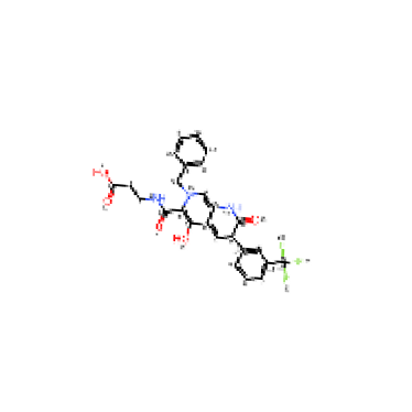 O=C(O)CCNC(=O)C1=C(O)C2=CC(c3cccc(C(F)(F)F)c3)C(=O)NC2=CN1Cc1ccccc1